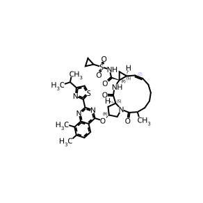 Cc1ccc2c(O[C@@H]3C[C@H]4C(=O)N[C@]5(C(=O)NS(=O)(=O)C6CC6)C[C@H]5/C=C\CCCCC(C)C(=O)N4C3)nc(-c3nc(C(C)C)cs3)nc2c1C